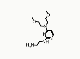 COCCN(CCOC)c1ccnc(NCCN)n1